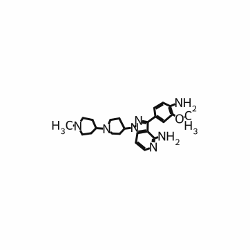 COc1cc(-c2nn(C3CCN(C4CCN(C)CC4)CC3)c3ccnc(N)c23)ccc1N